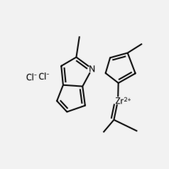 CC1=CC[C]([Zr+2]=[C](C)C)=C1.CC1=NC2=CC=CC2=C1.[Cl-].[Cl-]